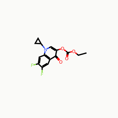 CCOC(=O)Oc1cn(C2CC2)c2cc(F)c(F)cc2c1=O